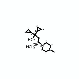 CN1CCN(CCC(O)(C2CC2)C2CC2)CC1.Cl.Cl